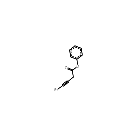 [CH2]CC#CCC(=O)Oc1ccccc1